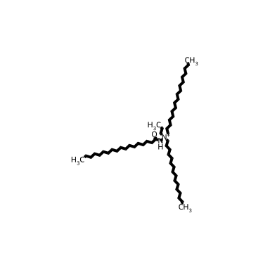 CCCCCCCCCCCCCCCCCC[N+](CCC)(CCCCCCCCCCCCCCCC)NC(=O)CCCCCCCCCCCCCCCCC